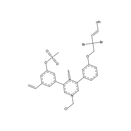 C=Cc1cc(OS(C)(=O)=O)cc(-c2cn(CCl)cc(-c3cccc(OCC(Br)(Br)/C=C/CCC)c3)c2=S)c1